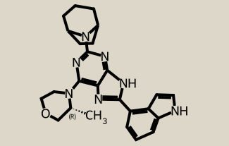 C[C@@H]1COCCN1c1nc(N2C3CCCC2CC3)nc2[nH]c(-c3cccc4[nH]ccc34)nc12